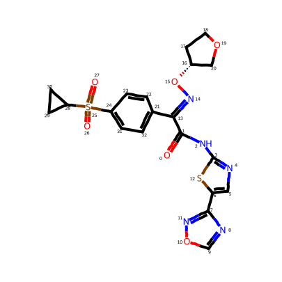 O=C(Nc1ncc(-c2ncon2)s1)/C(=N/O[C@@H]1CCOC1)c1ccc(S(=O)(=O)C2CC2)cc1